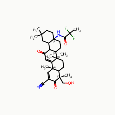 CC1(C)CC[C@]2(NC(=O)C(C)(F)F)CC[C@]3(C)C(C(=O)C=C4[C@@]5(C)C=C(C#N)C(=O)[C@@](C)(CO)C5CC[C@]43C)C2C1